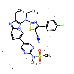 CCc1nc2ccc(-c3cnc(N(C)S(C)(=O)=O)nc3)cn2c1N(CC)c1nc(-c2ccc(F)cc2)c(C#N)s1